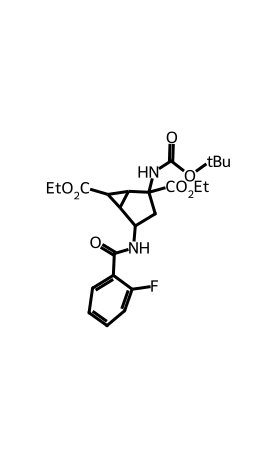 CCOC(=O)C1C2C(NC(=O)c3ccccc3F)CC(NC(=O)OC(C)(C)C)(C(=O)OCC)C12